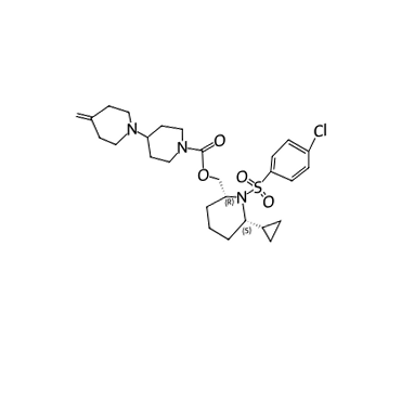 C=C1CCN(C2CCN(C(=O)OC[C@H]3CCC[C@@H](C4CC4)N3S(=O)(=O)c3ccc(Cl)cc3)CC2)CC1